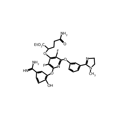 CCOC(=O)C(CCC(N)=O)Oc1c(F)c(Oc2cccc(C3=NCCN3C)c2)nc(Oc2cc(C(=N)N)ccc2O)c1F